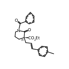 CCOC(=O)[C@@]1(CC=Cc2ccc(C)cc2)CCCN(C(=O)c2ccccc2)C1=O